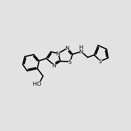 OCc1ccccc1-c1cn2nc(NCc3cccs3)sc2n1